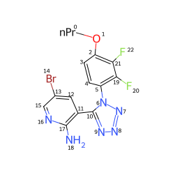 CCCOc1ccc(-n2nnnc2-c2cc(Br)cnc2N)c(F)c1F